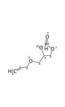 C=CCOCC1CO[PH](=O)O1